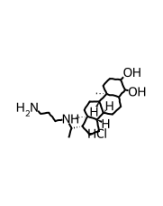 CC(NCCCN)[C@H]1CC[C@H]2[C@@H]3CCC4C(O)C(O)CC[C@]4(C)[C@H]3CC[C@]12C.Cl